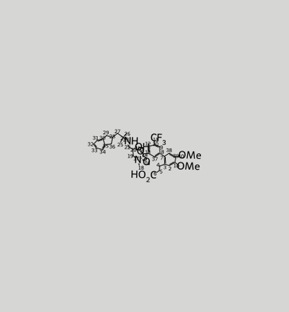 COc1cc(CCC(=O)O)c(-c2cc(C(F)(F)F)cc(S(=O)(=O)N(C)C[C@H](O)CNC(C)(C)CC3Cc4ccccc4C3)c2)cc1OC